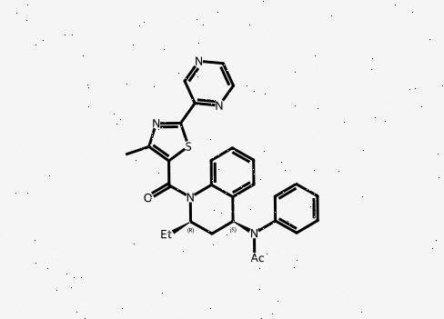 CC[C@@H]1C[C@H](N(C(C)=O)c2ccccc2)c2ccccc2N1C(=O)c1sc(-c2cnccn2)nc1C